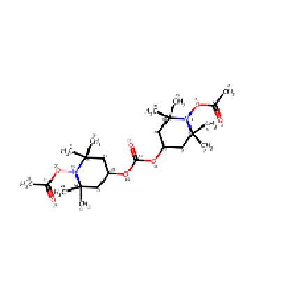 CC(=O)ON1C(C)(C)CC(OC(=O)OC2CC(C)(C)N(OC(C)=O)C(C)(C)C2)CC1(C)C